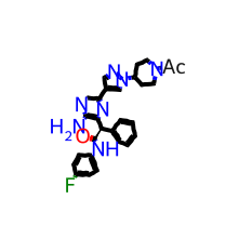 CC(=O)N1CCC(n2cc(-c3cnc(N)c([C@H](C(=O)Nc4ccc(F)cc4)c4ccccc4)n3)cn2)CC1